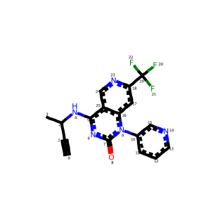 C#CC(C)Nc1nc(=O)n(-c2cccnc2)c2cc(C(F)(F)F)ncc12